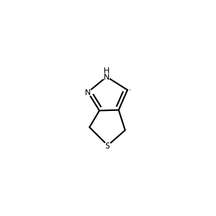 [c]1[nH]nc2c1CSC2